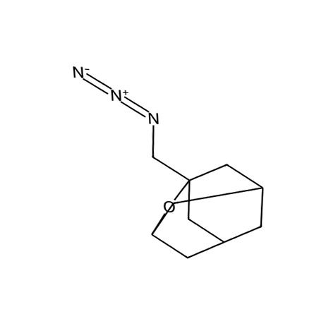 [N-]=[N+]=NCC12CC3CC(CC(C3)O1)C2